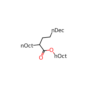 CCCCCCCCCCCCC(CCCCCCCC)C(=O)OCCCCCCCC